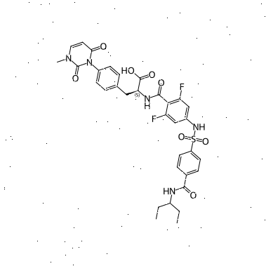 CCC(CC)NC(=O)c1ccc(S(=O)(=O)Nc2cc(F)c(C(=O)N[C@@H](Cc3ccc(-n4c(=O)ccn(C)c4=O)cc3)C(=O)O)c(F)c2)cc1